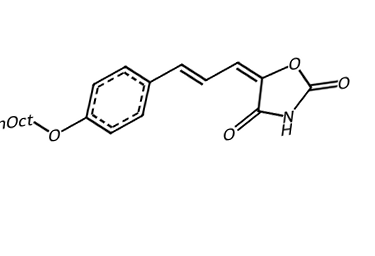 CCCCCCCCOc1ccc(C=CC=C2OC(=O)NC2=O)cc1